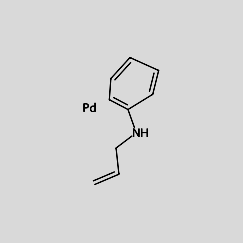 C=CCNc1ccccc1.[Pd]